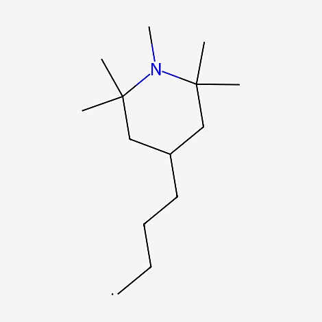 [CH2]CCCC1CC(C)(C)N(C)C(C)(C)C1